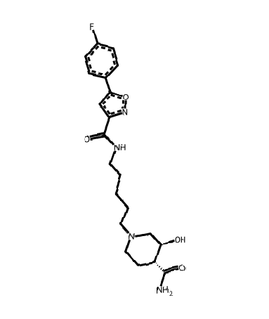 NC(=O)[C@@H]1CCN(CCCCCNC(=O)c2cc(-c3ccc(F)cc3)on2)C[C@H]1O